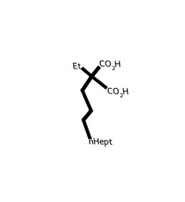 CCCCCCCCCCC(CC)(C(=O)O)C(=O)O